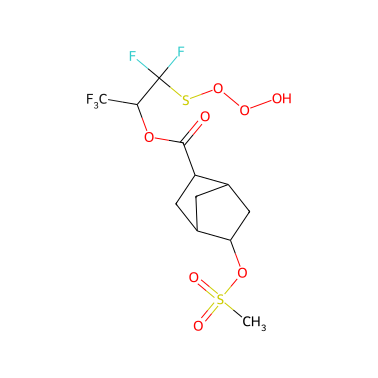 CS(=O)(=O)OC1CC2CC1CC2C(=O)OC(C(F)(F)F)C(F)(F)SOOO